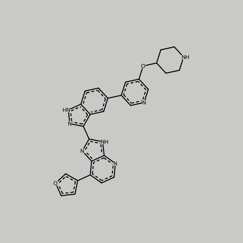 c1cc(-c2ccoc2)c2nc(-c3n[nH]c4ccc(-c5cncc(OC6CCNCC6)c5)cc34)[nH]c2n1